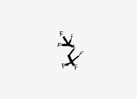 FC(F)(F)C[I]C(F)(F)F